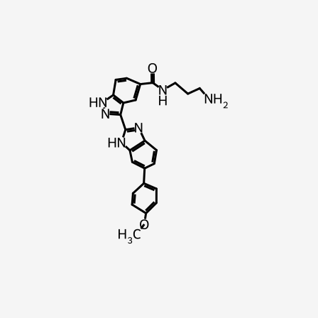 COc1ccc(-c2ccc3nc(-c4n[nH]c5ccc(C(=O)NCCCN)cc45)[nH]c3c2)cc1